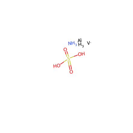 N.O=S(=O)(O)O.[AlH3].[V]